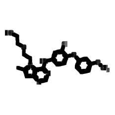 Cc1cc2ncnc(Nc3ccc(Oc4cccc(OC(F)(F)F)c4)c(Cl)c3)c2n1CCOCCO